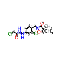 CC1(C)CON(Cc2ccc(NNC(=O)CCl)cc2Cl)C1=O